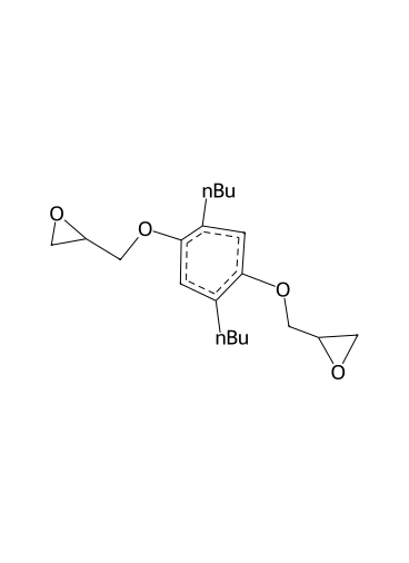 CCCCc1cc(OCC2CO2)c(CCCC)cc1OCC1CO1